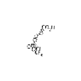 O=C(O)C1CC(OCCOc2ccc(-c3cc(=O)c4ccc(C(F)(F)F)c(Cl)c4o3)cc2)C1